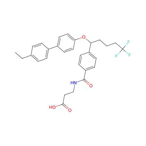 CCc1ccc(-c2ccc(OC(CCCC(F)(F)F)c3ccc(C(=O)NCCC(=O)O)cc3)cc2)cc1